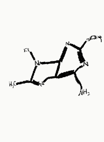 CCCc1nc(N)c2nc(C)n(CC)c2n1